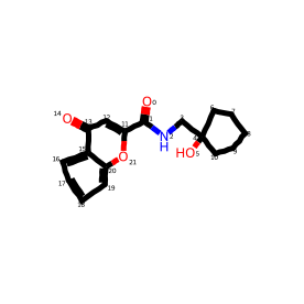 O=C(NCC1(O)CCCCC1)c1cc(=O)c2ccccc2o1